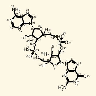 Nc1nc2c(ncn2[C@@H]2O[C@@H]3COP(=O)(S)O[C@H]4[C@@H](F)[C@H](n5cnc6c(N)ncnc65)O[C@@H]4CNS(=O)(=O)O[C@@H]2[C@@H]3F)c(=O)[nH]1